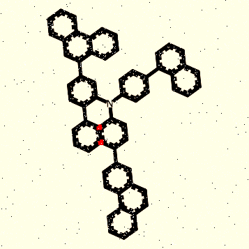 c1ccc(-c2ccc(-c3cc4ccccc4c4ccccc34)cc2N(c2ccc(-c3ccc4c(ccc5ccccc54)c3)cc2)c2ccc(-c3cccc4ccccc34)cc2)cc1